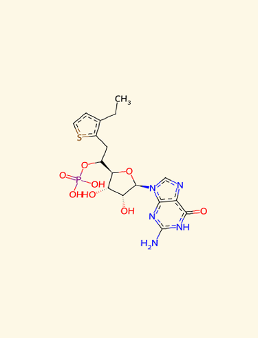 CCc1ccsc1CC(OP(=O)(O)O)[C@H]1O[C@@H](n2cnc3c(=O)[nH]c(N)nc32)[C@H](O)[C@@H]1O